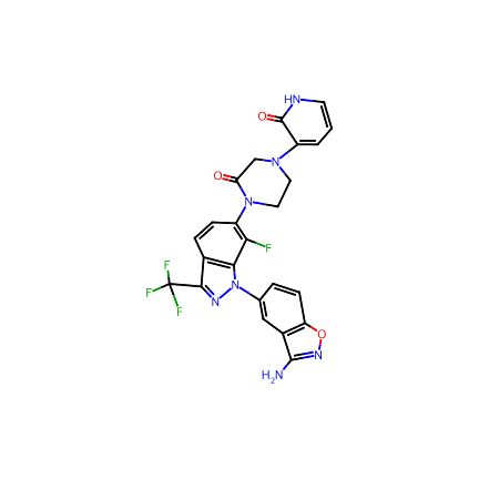 Nc1noc2ccc(-n3nc(C(F)(F)F)c4ccc(N5CCN(c6ccc[nH]c6=O)CC5=O)c(F)c43)cc12